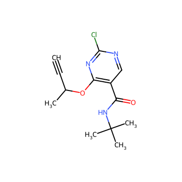 C#CC(C)Oc1nc(Cl)ncc1C(=O)NC(C)(C)C